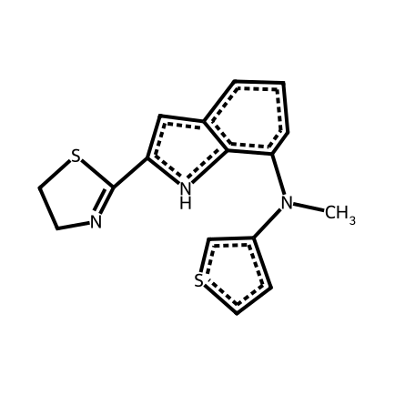 CN(c1ccsc1)c1cccc2cc(C3=NCCS3)[nH]c12